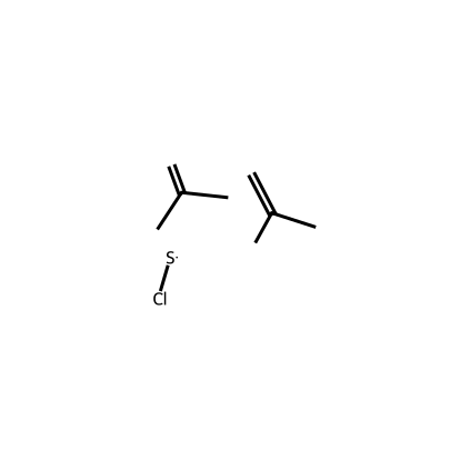 C=C(C)C.C=C(C)C.[S]Cl